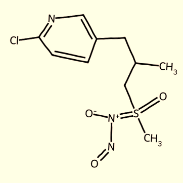 CC(Cc1ccc(Cl)nc1)CS(C)(=O)=[N+]([O-])N=O